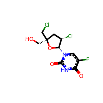 O=c1[nH]c(=O)n([C@@H]2O[C@@](CO)(CCl)C[C@@H]2Cl)cc1F